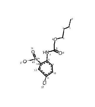 CCCCOC(=O)Nc1ccc(Cl)cc1[N+](=O)[O-]